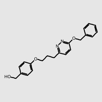 OCc1ccc(OCCCc2ccc(OCc3ccccc3)nn2)cc1